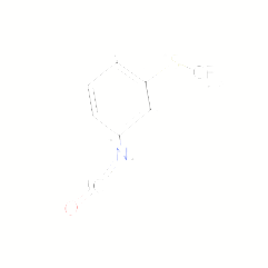 O=C=Nc1cccc(SC(F)(F)F)c1